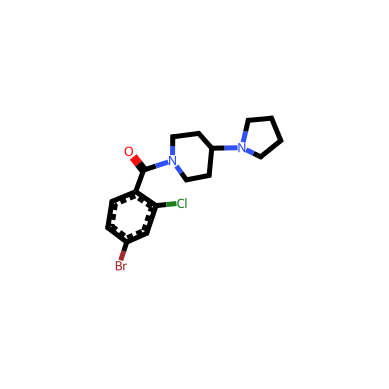 O=C(c1ccc(Br)cc1Cl)N1CCC(N2CCCC2)CC1